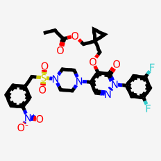 CCC(=O)OCC1(COc2c(N3CCN(S(=O)(=O)Cc4cccc([N+](=O)[O-])c4)CC3)cnn(-c3cc(F)cc(F)c3)c2=O)CC1